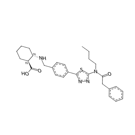 CCCCN(C(=O)Cc1ccccc1)c1nnc(-c2ccc(CN[C@H]3CCCC[C@@H]3C(=O)O)cc2)s1